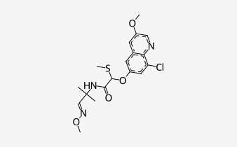 CON=CC(C)(C)NC(=O)C(Oc1cc(Cl)c2ncc(OC)cc2c1)SC